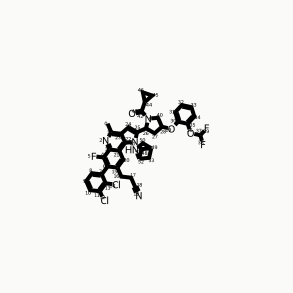 Cc1nc2c(F)c(-c3cccc(Cl)c3Cl)c(CCC#N)cc2c2c1cc(C1CC(Oc3ccccc3OC(F)F)CN1C(=O)C1CC1)n2C1C2CNC1C2